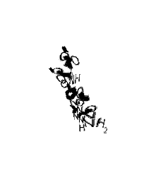 C=COC(=O)CC[C@H](NC(=O)c1ccc(N(Cc2cnc3[nH]c(N)nc(=O)c3n2)OC(C)=O)cc1)C(=O)OC=C